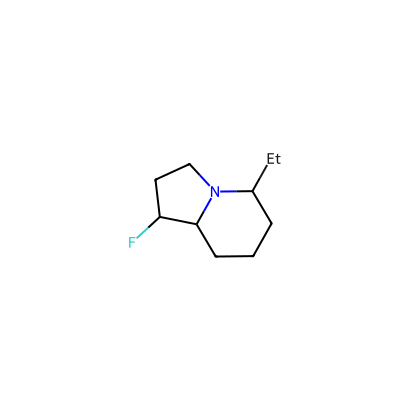 CCC1CCCC2C(F)CCN12